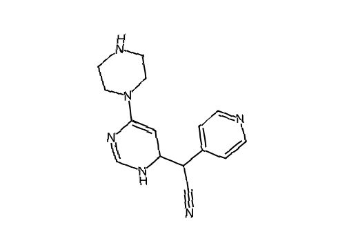 N#CC(c1ccncc1)C1C=C(N2CCNCC2)N=CN1